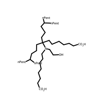 CCCCCC(CCCCC)CCCC(CCCCCCC(=O)O)(CCCC(CCCCC)CCCCC)N(CCO)CCCCCCCC(=O)O